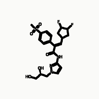 CS(=O)(=O)c1ccc(/C(=C\C2CC(F)C(F)C2)C(=O)Nc2ccn(C[C@H](O)CO)n2)cc1